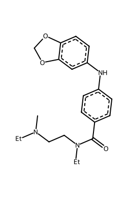 CCN(C)CCN(CC)C(=O)c1ccc(Nc2ccc3c(c2)OCO3)cc1